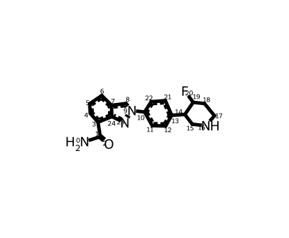 NC(=O)c1cccc2cn(-c3ccc(C4CNCCC4F)cc3)nc12